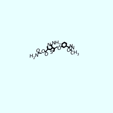 Cc1nnc(-c2cccc(OCc3csc4c(C(=O)OCC(N)=O)cnc(N)c34)c2)o1